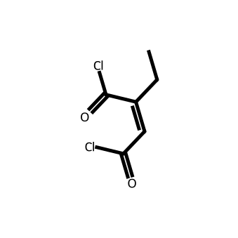 CCC(=CC(=O)Cl)C(=O)Cl